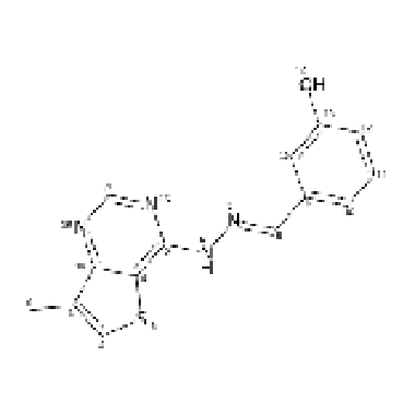 Cc1csc2c(NN=Cc3cccc(O)c3)ncnc12